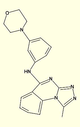 Cc1nnc2nc(Nc3cccc(N4CCOCC4)c3)c3ccccc3n12